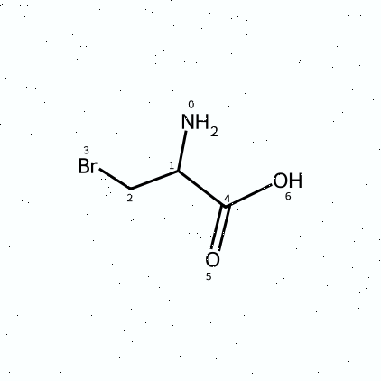 NC(CBr)C(=O)O